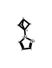 c1cnn(C23CC(C2)C3)c1